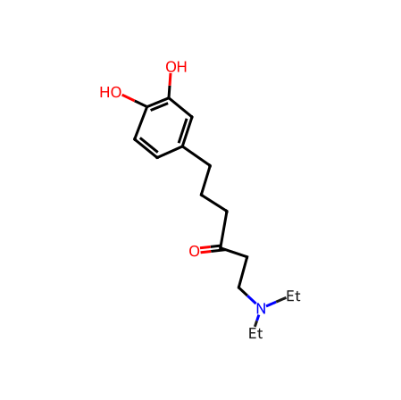 CCN(CC)CCC(=O)CCCc1ccc(O)c(O)c1